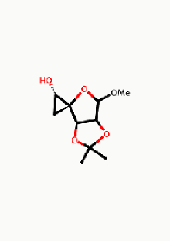 COC1O[C@]2(C[C@@H]2O)C2OC(C)(C)OC12